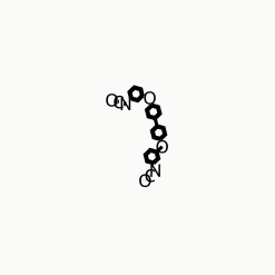 O=C=Nc1cccc(Oc2ccc(-c3ccc(Oc4cccc(N=C=O)c4)cc3)cc2)c1